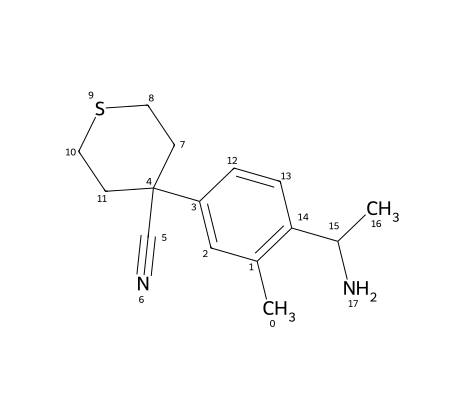 Cc1cc(C2(C#N)CCSCC2)ccc1C(C)N